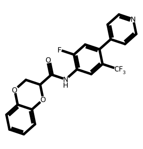 O=C(Nc1cc(C(F)(F)F)c(-c2ccncc2)cc1F)C1COc2ccccc2O1